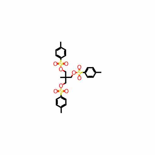 Cc1ccc(S(=O)(=O)OCC(C)(COS(=O)(=O)c2ccc(C)cc2)COS(=O)(=O)c2ccc(C)cc2)cc1